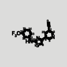 C#Cc1cncc(-c2csc(Nc3cccc(C(F)(F)F)c3)n2)c1